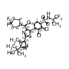 CC(NS(=O)(=O)c1ccc(-c2sc(-c3nnc(C(C)(C)O)n3C)nc2C(=O)N2CCC(F)(F)CC2)c(Cl)c1Cl)C(F)(F)F